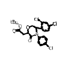 CC(C)(C)OC(=O)CC1OCC(c2ccc(Cl)cc2Cl)N(c2ccc(Cl)cc2)C1=O